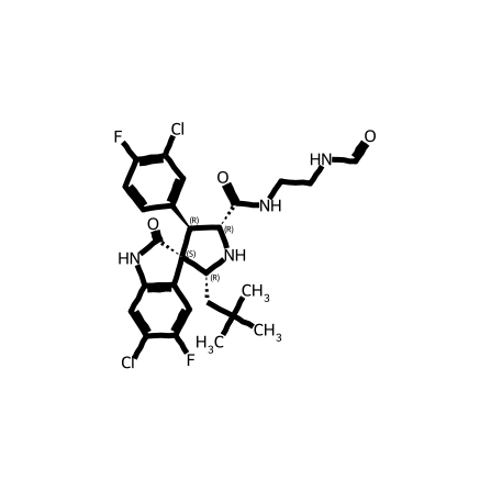 CC(C)(C)C[C@H]1N[C@@H](C(=O)NCCNC=O)[C@H](c2ccc(F)c(Cl)c2)[C@@]12C(=O)Nc1cc(Cl)c(F)cc12